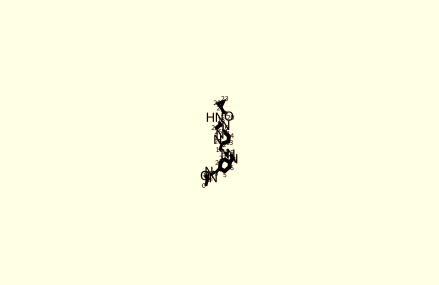 Cc1nc(-c2ccc3nnn(Cc4ccc5nc(NC(=O)C6CC6)cn5n4)c3c2)no1